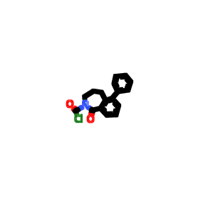 O=C(Cl)N1CCCc2c(cccc2-c2ccccc2)C1=O